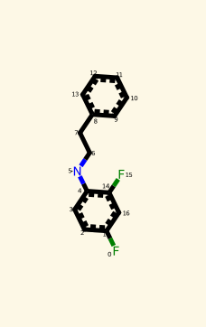 Fc1ccc([N]CCc2ccccc2)c(F)c1